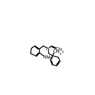 C=CN(CC1=CCCC=C1NC)CC1(C)C=CC=CC1